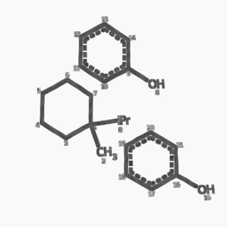 CC(C)C1(C)CCCCC1.Oc1ccccc1.Oc1ccccc1